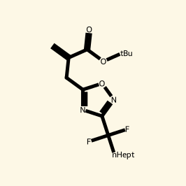 C=C(Cc1nc(C(F)(F)CCCCCCC)no1)C(=O)OC(C)(C)C